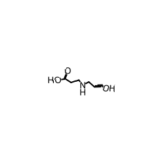 O=C(O)CCNCC=CO